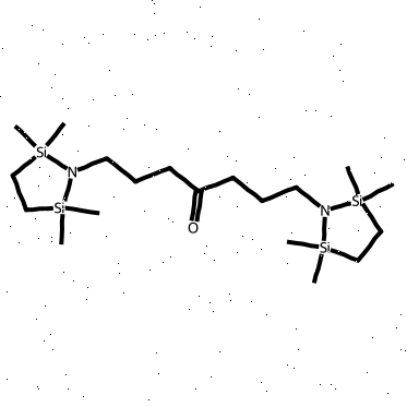 C[Si]1(C)CC[Si](C)(C)N1CCCC(=O)CCCN1[Si](C)(C)CC[Si]1(C)C